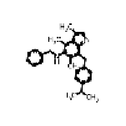 Cc1c(NCc2ccccc2)c(C)c2c(C)coc2c1Cc1ccc(C(C)C)cc1